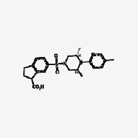 Cc1ccc(N2[C@@H](C)CN(S(=O)(=O)c3ccc4c(c3)C(C(=O)O)CC4)C[C@@H]2C)nc1